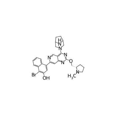 CN1CCC[C@H]1COc1nc(N2CC3CCC(C2)N3)c2cnc(-c3cc(O)c(Br)c4ccccc34)cc2n1